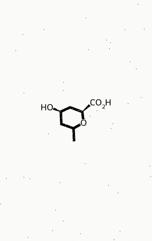 CC1C[C@@H](O)C[C@@H](C(=O)O)O1